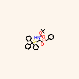 CC(C)(C)OC(=O)NC(CSC(c1ccccc1)(c1ccccc1)c1ccccc1)C(=O)OCc1ccccc1